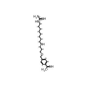 CC(=N)c1ccc(COCCCNCCCCCCCCNC(=N)N)cc1